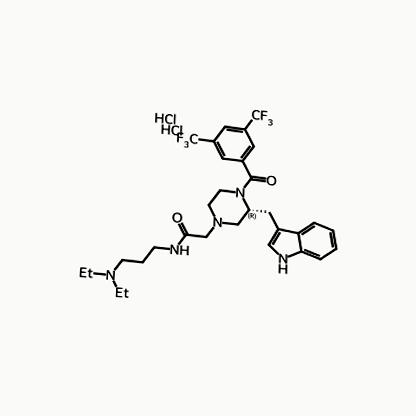 CCN(CC)CCCNC(=O)CN1CCN(C(=O)c2cc(C(F)(F)F)cc(C(F)(F)F)c2)[C@H](Cc2c[nH]c3ccccc23)C1.Cl.Cl